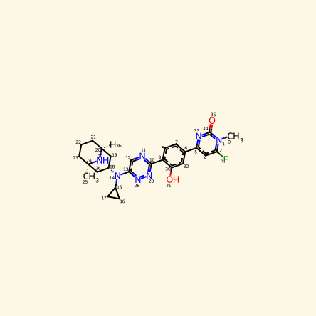 Cn1c(F)cc(-c2ccc(-c3ncc(N(C4CC4)[C@H]4C[C@@H]5CCC[C@](C)(C4)N5)nn3)c(O)c2)nc1=O